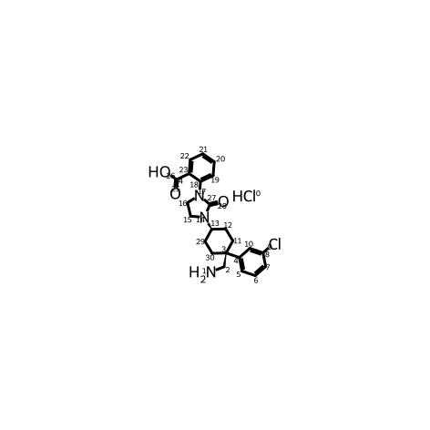 Cl.NC[C@]1(c2cccc(Cl)c2)CC[C@H](N2CCN(c3ccccc3C(=O)O)C2=O)CC1